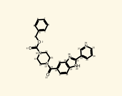 O=C(OCc1ccccc1)N1CCN(C(=O)c2ccc3[nH]c(-c4cccnc4)nc3c2)CC1